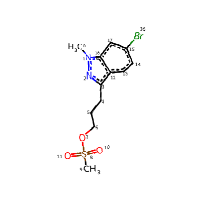 Cn1nc(CCCOS(C)(=O)=O)c2ccc(Br)cc21